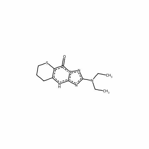 CCN(CC)c1nc2[nH]c3c(c(=O)n2n1)SCCC3